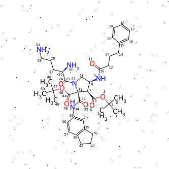 CC(C)(C)OC(=O)[C@@H]1[C@H](NC(=O)CCCc2ccccc2)CN(C(=O)[C@H](N)CCCN)[C@@]1(C(=O)Nc1ccc2c(c1)CCC2)C(=O)OC(C)(C)C